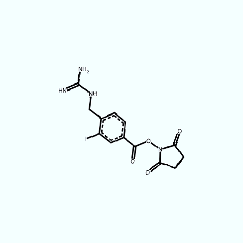 N=C(N)NCc1ccc(C(=O)ON2C(=O)CCC2=O)cc1I